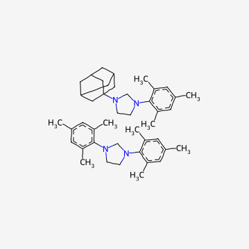 Cc1cc(C)c(N2CCN(C34CC5CC(CC(C5)C3)C4)C2)c(C)c1.Cc1cc(C)c(N2CCN(c3c(C)cc(C)cc3C)C2)c(C)c1